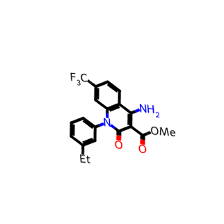 CCc1cccc(-n2c(=O)c(C(=O)OC)c(N)c3ccc(C(F)(F)F)cc32)c1